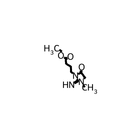 CCOC(=O)CCCN1C(=N)N(C)CC1=O